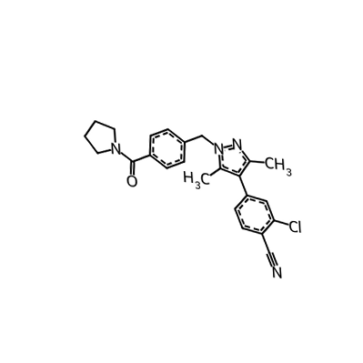 Cc1nn(Cc2ccc(C(=O)N3CCCC3)cc2)c(C)c1-c1ccc(C#N)c(Cl)c1